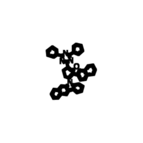 c1ccc(-c2nc(C3=c4oc5c(ccc6ccccc65)c4=C(n4c5ccccc5c5cc6ccccc6cc54)CC3)nc(-c3ccccc3)n2)cc1